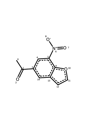 CC(=O)c1cc([N+](=O)[O-])c2occc2c1